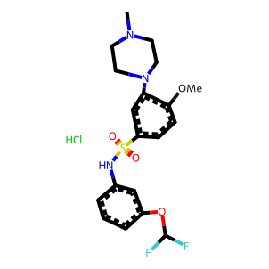 COc1ccc(S(=O)(=O)Nc2cccc(OC(F)F)c2)cc1N1CCN(C)CC1.Cl